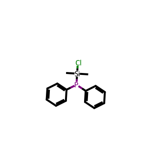 C[Si](C)(Cl)P(c1ccccc1)c1ccccc1